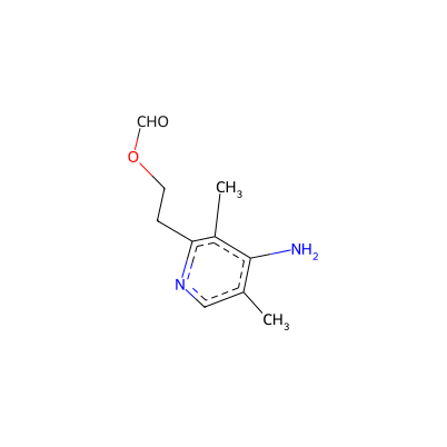 Cc1cnc(CCOC=O)c(C)c1N